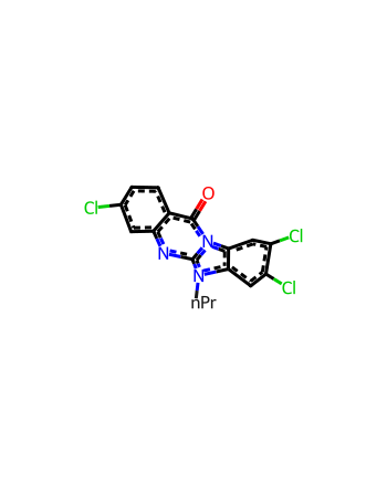 CCCn1c2cc(Cl)c(Cl)cc2n2c(=O)c3ccc(Cl)cc3nc12